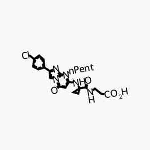 CCCCCn1c(NC2(C(=O)NCCC(=O)O)CC2)cc(=O)n2cc(-c3ccc(Cl)cc3)nc12